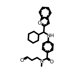 CN(CCC=O)C(=O)c1ccc(NC(c2cc3ccccc3o2)C2CCCCC2)cc1